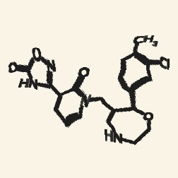 Cc1ccc(C2OCCNCC2Cn2cccc(-c3noc(=O)[nH]3)c2=O)cc1Cl